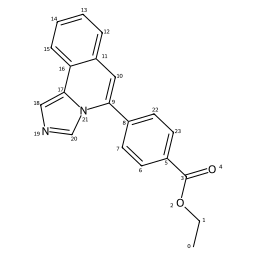 CCOC(=O)c1ccc(-c2cc3ccccc3c3cncn23)cc1